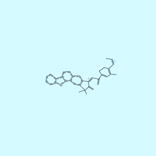 C=C(/C=C1\C(=C)C(C)(C)c2cc3c(ccc4c5ccccc5oc34)cc21)C1=CC(C)=C(/C=C\C)CC1